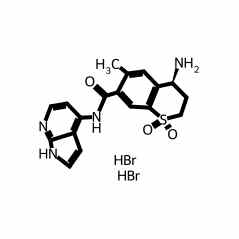 Br.Br.Cc1cc2c(cc1C(=O)Nc1ccnc3[nH]ccc13)S(=O)(=O)CC[C@@H]2N